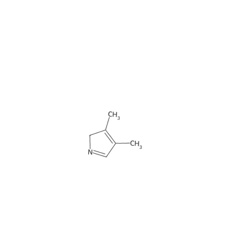 CC1=C(C)CN=C1